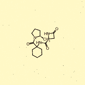 C[C@@H]1CCCN1C(=O)C1(NC(=O)[C@@H]2CC(=O)N2)CCCCC1